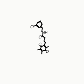 CC1=C(C)C(=O)C(CCCC(=O)NCCc2cccc(Cl)c2)=C(C)C1=O